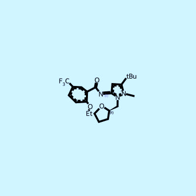 CCOc1ccc(C(F)(F)F)cc1C(=O)/N=c1\cc(C(C)(C)C)n(C)n1C[C@H]1CCCO1